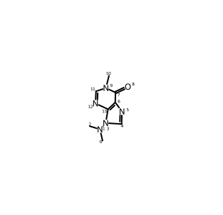 CN(C)n1cnc2c(=O)n(C)cnc21